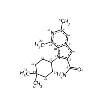 Cc1cc2cc(C(N)=O)n(C3CCC(C)(C)CC3)c2c(C)n1